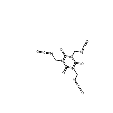 O=C=NCn1c(=O)n(CN=C=O)c(=O)n(CN=C=O)c1=O